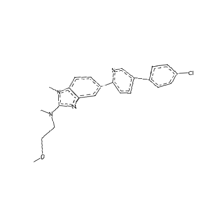 COCCN(C)c1nc2cc(-c3ccc(-c4ccc(Cl)cc4)cn3)ccc2n1C